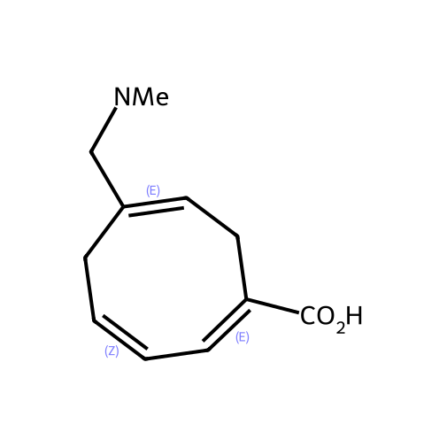 CNC/C1=C/C/C(C(=O)O)=C\C=C/C1